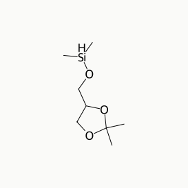 C[SiH](C)OCC1COC(C)(C)O1